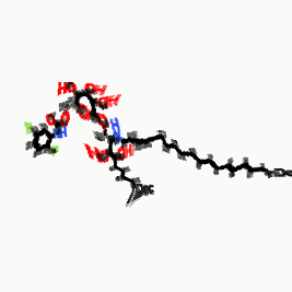 CCCCCCCCCCCCCCCCCCCCCCCCCCN[C@@H](CO[C@H]1O[C@H](COC(=O)Nc2cc(F)ccc2F)[C@H](O)[C@H](O)[C@H]1O)[C@H](O)[C@H](O)CCCCCCCCCCCCCC